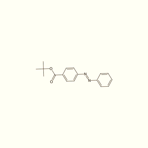 CC(C)(C)OC(=O)c1ccc(N=Nc2ccccc2)cc1